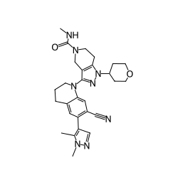 CNC(=O)N1CCc2c(c(N3CCCc4cc(-c5cnn(C)c5C)c(C#N)cc43)nn2C2CCOCC2)C1